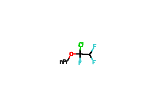 CCCOC(F)(Cl)C(F)F